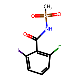 CS(=O)(=O)NC(=O)c1c(F)cccc1I